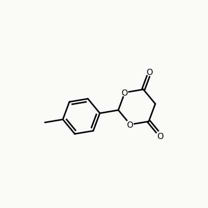 Cc1ccc(C2OC(=O)CC(=O)O2)cc1